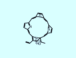 [2H]C1C(C=C)=C2C=C3C=CC(=N3)C=c3ccc([nH]3)=CC3=NC(=CC1(C(C)O)N2)C=C3